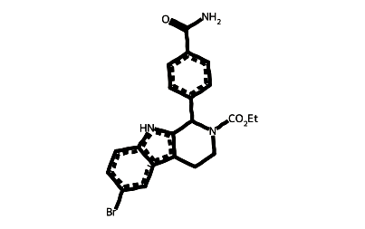 CCOC(=O)N1CCc2c([nH]c3ccc(Br)cc23)C1c1ccc(C(N)=O)cc1